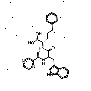 O=C(NC(Cc1c[nH]c2ccccc12)C(=O)N[C@@H](CCCc1ccccc1)B(O)O)c1cnccn1